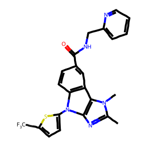 Cc1nc2c(c3cc(C(=O)NCc4ccccn4)ccc3n2-c2ccc(C(F)(F)F)s2)n1C